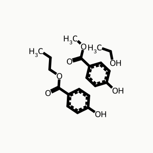 CCCOC(=O)c1ccc(O)cc1.CCO.COC(=O)c1ccc(O)cc1